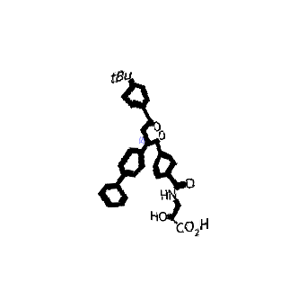 CC(C)(C)c1ccc(C(=O)/C=C(\C(=O)c2ccc(C(=O)NC[C@@H](O)C(=O)O)cc2)c2ccc(-c3ccccc3)cc2)cc1